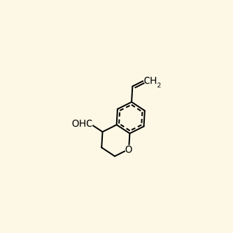 C=Cc1ccc2c(c1)C(C=O)CCO2